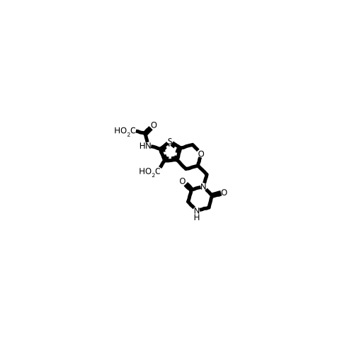 O=C(O)C(=O)Nc1sc2c(c1C(=O)O)CC(CN1C(=O)CNCC1=O)OC2